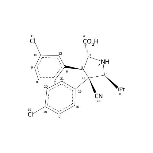 CC(C)[C@@H]1N[C@@H](C(=O)O)[C@H](c2cccc(Cl)c2)[C@@]1(C#N)c1ccc(Cl)cc1